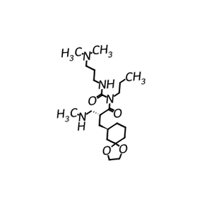 CCCN(C(=O)NCCCN(C)C)C(=O)[C@@H](CNC)C[C@H]1CCCC2(C1)OCCO2